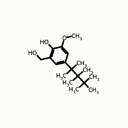 COc1cc(C(C)(C)C(C)(C)C(C)(C)C)cc(CO)c1O